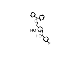 O[C@@H](CN1CC[C@H](CCOC(c2ccccc2)c2ccccc2)[C@@H](O)C1)C1C=CC(F)=CC1